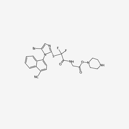 N#Cc1ccc(-n2c(Br)cnc2SC(F)(F)C(=O)NCC(=O)ON2CCNCC2)c2ccccc12